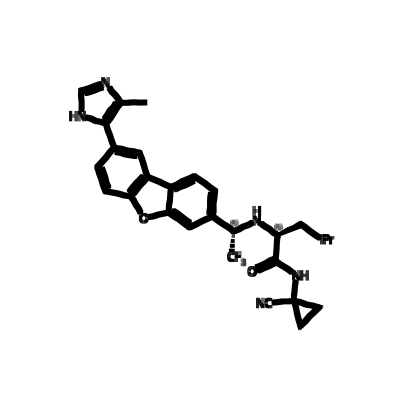 Cc1nc[nH]c1-c1ccc2oc3cc([C@H](N[C@@H](CC(C)C)C(=O)NC4(C#N)CC4)C(F)(F)F)ccc3c2c1